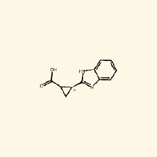 O=C(O)C1C[C@@H]1c1nc2ccccc2[nH]1